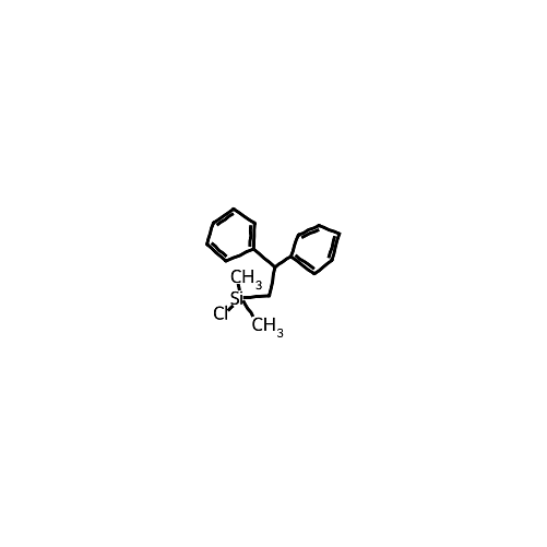 C[Si](C)(Cl)CC(c1ccccc1)c1ccccc1